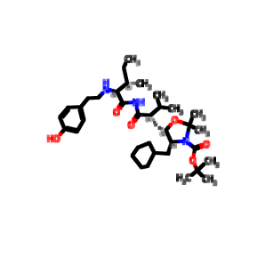 CC[C@H](C)[C@H](NCCc1ccc(O)cc1)C(=O)NC(=O)[C@@H](C[C@@H]1OC(C)(C)N(C(=O)OC(C)(C)C)[C@H]1CC1CCCCC1)C(C)C